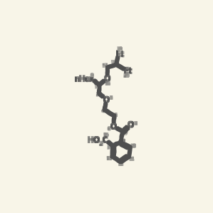 CCCCCCC(COCCOC(=O)c1ccccc1C(=O)O)OCC(CC)CC